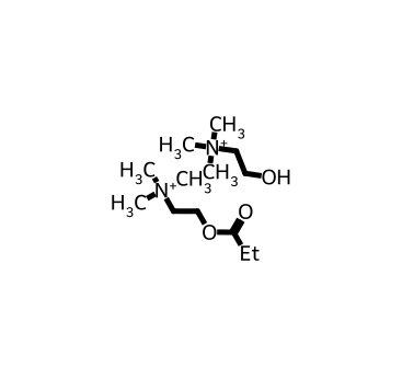 CCC(=O)OCC[N+](C)(C)C.C[N+](C)(C)CCO